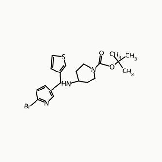 CC(C)(C)OC(=O)N1CCC(NC(c2ccc(Br)nc2)c2ccsc2)CC1